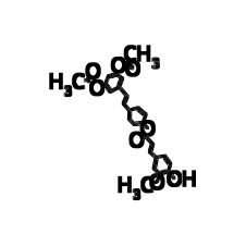 COc1cc(C=CC(=O)Oc2ccc(C=Cc3cc(OC(C)=O)cc(OC(C)=O)c3)cc2)ccc1O